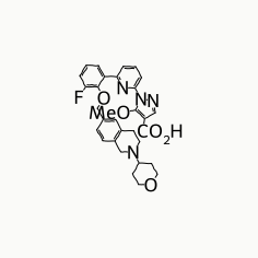 COc1c(C(=O)O)cnn1-c1cccc(-c2cccc(F)c2OCc2ccc3c(c2)CCN(C2CCOCC2)C3)n1